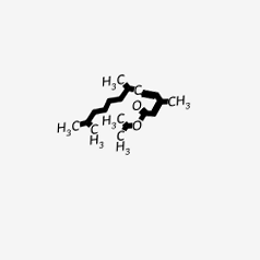 CC(C=CCC(C)CCCCC(C)C)=CC(=O)OC(C)C